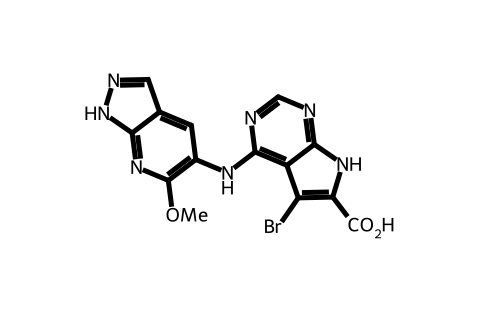 COc1nc2[nH]ncc2cc1Nc1ncnc2[nH]c(C(=O)O)c(Br)c12